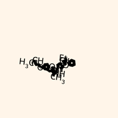 CCN(c1ccccc1)S(=O)(=O)c1ccc(-n2[nH]c(C)c(Cc3cccc(OCCN(C)C)c3)c2=O)nc1